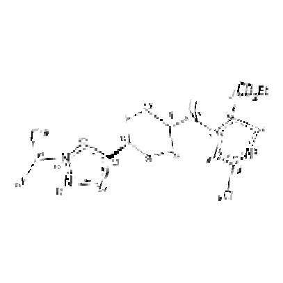 CCOC(=O)c1cnc(Cl)cc1N[C@H]1CC[C@H](c2cnn(C(F)F)c2)CC1